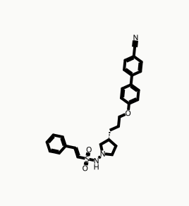 N#Cc1ccc(-c2ccc(OCCC[C@@H]3CCN(NS(=O)(=O)C=Cc4ccccc4)C3)cc2)cc1